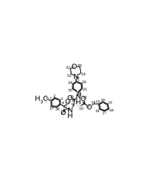 Cc1ccc(S(=O)(=O)N[C@@H](CC(=O)OCc2ccccc2)C(=O)Nc2ccc(N3CCOCC3)cc2)cc1